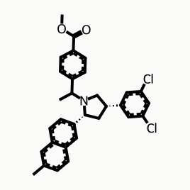 COC(=O)c1ccc(C(C)N2C[C@H](c3cc(Cl)cc(Cl)c3)C[C@@H]2c2ccc3cc(C)ccc3c2)cc1